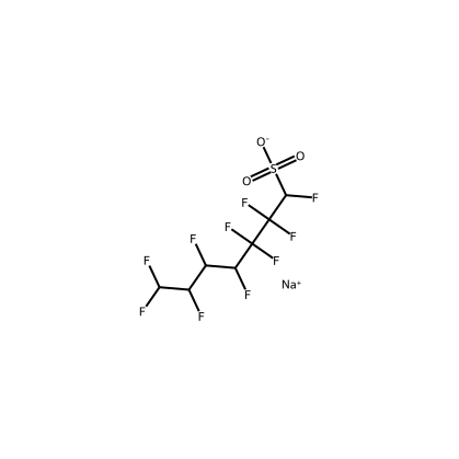 O=S(=O)([O-])C(F)C(F)(F)C(F)(F)C(F)C(F)C(F)C(F)F.[Na+]